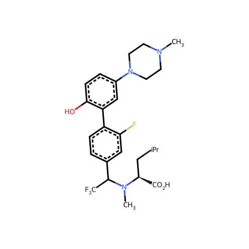 CC(C)C[C@@H](C(=O)O)N(C)C(c1ccc(-c2cc(N3CCN(C)CC3)ccc2O)c(F)c1)C(F)(F)F